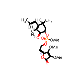 COC1=C(OC)/C(=C\COP(=O)(OC)OC2CC(C)(C)C(C=C(C)C)=C(C)C2=O)OC1=O